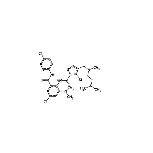 CN(C)CCN(C)Cc1csc(C(=O)Nc2c(C(=O)Nc3ccc(Cl)cn3)cc(Cl)cc2N(C)C)c1Cl